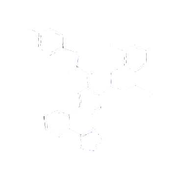 Cc1ccc(NC(=O)Nc2cc(-c3ccccc3-c3nnn[nH]3)ccc2N(CCC(F)(F)F)Cc2ccc(Cl)cc2Cl)cc1